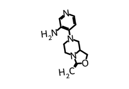 C=C1OCC2CN(c3ccncc3N)CCN12